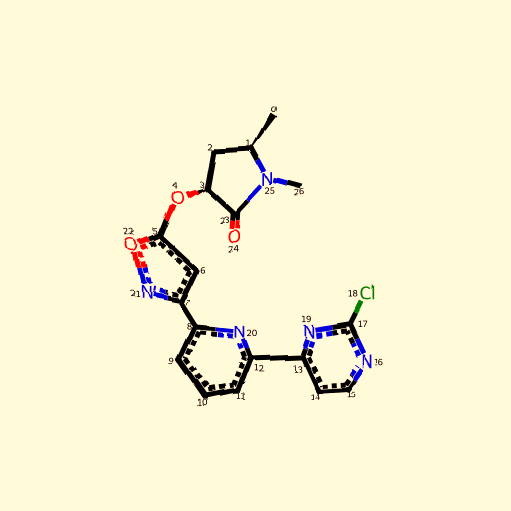 C[C@@H]1C[C@H](Oc2cc(-c3cccc(-c4ccnc(Cl)n4)n3)no2)C(=O)N1C